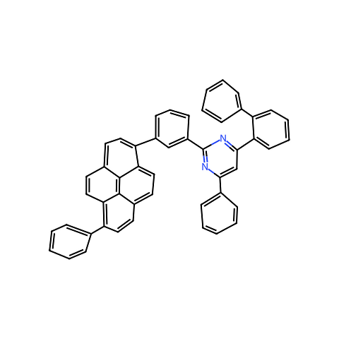 c1ccc(-c2cc(-c3ccccc3-c3ccccc3)nc(-c3cccc(-c4ccc5ccc6c(-c7ccccc7)ccc7ccc4c5c76)c3)n2)cc1